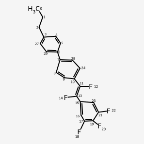 CCCc1ccc(-c2ccc(C(F)=C(F)c3cc(F)c(F)c(F)c3)cc2)cc1